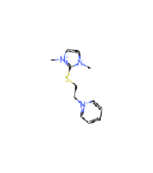 Cn1cc[n+](C)c1SCC[n+]1ccccc1